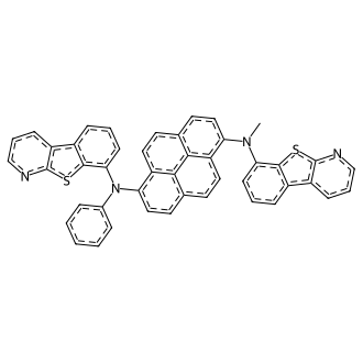 CN(c1ccc2ccc3c(N(c4ccccc4)c4cccc5c4sc4ncccc45)ccc4ccc1c2c43)c1cccc2c1sc1ncccc12